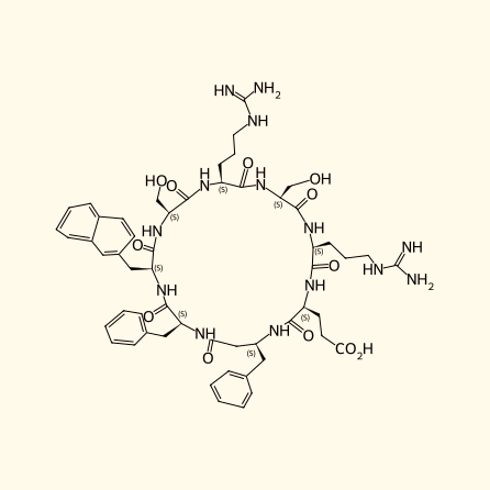 N=C(N)NCCC[C@@H]1NC(=O)[C@H](CO)NC(=O)[C@H](CCCNC(=N)N)NC(=O)[C@H](CO)NC(=O)[C@H](Cc2ccc3ccccc3c2)NC(=O)[C@H](Cc2ccccc2)NC(=O)C[C@H](Cc2ccccc2)NC(=O)[C@H](CCC(=O)O)NC1=O